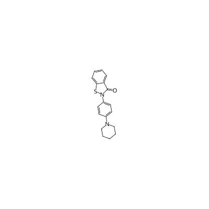 O=c1c2ccccc2sn1-c1ccc(N2CCCCC2)cc1